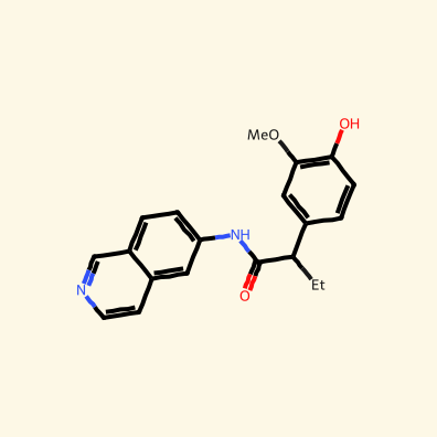 CCC(C(=O)Nc1ccc2cnccc2c1)c1ccc(O)c(OC)c1